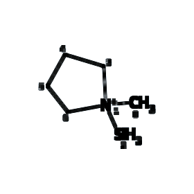 C[N+]1([SiH3])CCCC1